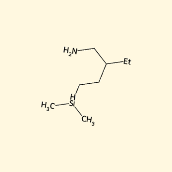 CCC(CN)CC[SiH](C)C